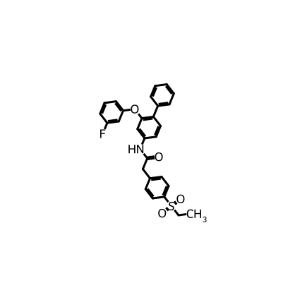 CCS(=O)(=O)c1ccc(CC(=O)Nc2ccc(-c3ccccc3)c(Oc3cccc(F)c3)c2)cc1